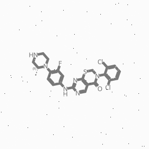 C[C@@H]1CNCCN1c1ccc(Nc2ncc3c(n2)SCN(c2c(Cl)cccc2Cl)C3=O)cc1F